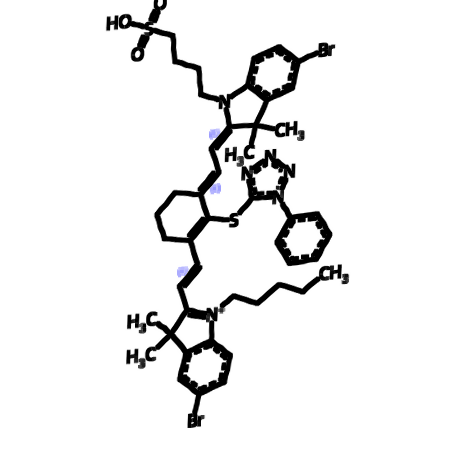 CCCCC[N+]1=C(/C=C/C2=C(Sc3nnnn3-c3ccccc3)C(=C/C=C3/N(CCCCS(=O)(=O)O)c4ccc(Br)cc4C3(C)C)/CCC2)C(C)(C)c2cc(Br)ccc21